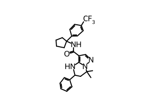 CC1(C)CC(c2ccccc2)Nc2c(C(=O)NC3(c4ccc(C(F)(F)F)cc4)CCCC3)cnn21